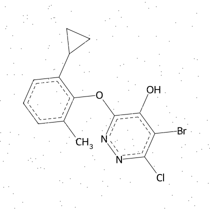 Cc1cccc(C2CC2)c1Oc1nnc(Cl)c(Br)c1O